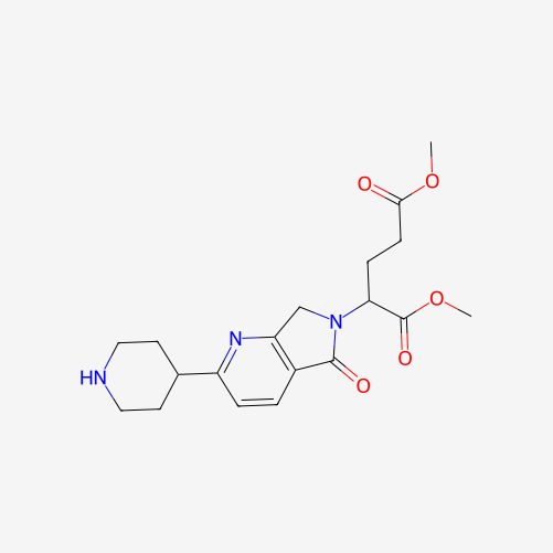 COC(=O)CCC(C(=O)OC)N1Cc2nc(C3CCNCC3)ccc2C1=O